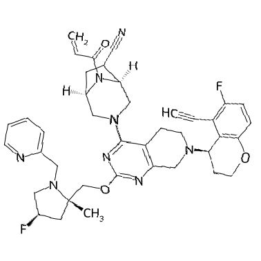 C#Cc1c(F)ccc2c1[C@H](N1CCc3c(nc(OC[C@]4(C)C[C@@H](F)CN4Cc4ccccn4)nc3N3C[C@H]4CC(C#N)[C@@H](C3)N4C(=O)C=C)C1)CCO2